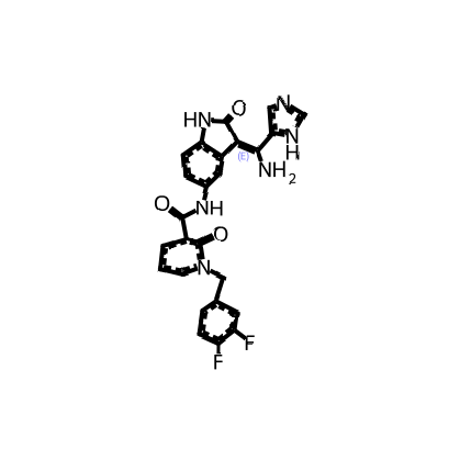 N/C(=C1/C(=O)Nc2ccc(NC(=O)c3cccn(Cc4ccc(F)c(F)c4)c3=O)cc21)c1cnc[nH]1